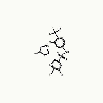 CN1CC[C@@H](Oc2cc(NS(=O)(=O)c3cnc(Cl)c(Br)c3)ccc2C(F)(F)F)C1